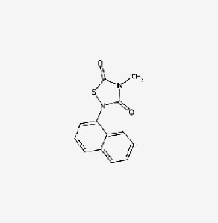 Cn1c(=O)sn(-c2cccc3ccccc23)c1=O